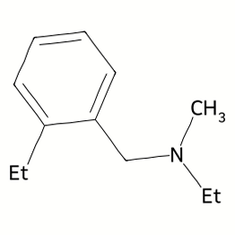 CCc1ccccc1CN(C)CC